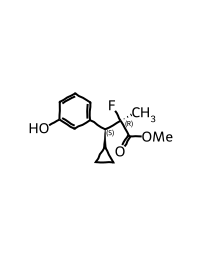 COC(=O)[C@](C)(F)[C@H](c1cccc(O)c1)C1CC1